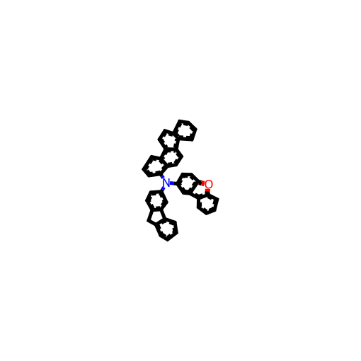 c1ccc2c(c1)Cc1ccc(N(c3ccc4oc5ccccc5c4c3)c3cccc4c3ccc3c5ccccc5ccc43)cc1-2